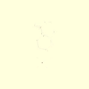 CC(C)(C)C[C@@H]1CCN(C(=O)O)S(=O)O1